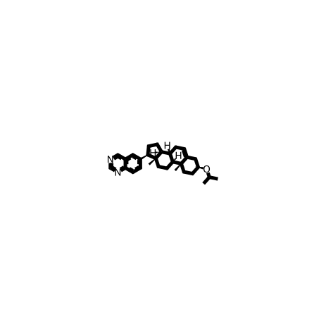 CC(C)O[C@H]1CC[C@@]2(C)C(=CC[C@H]3[C@@H]4CC[C@H](c5ccc6ncncc6c5)[C@@]4(C)CC[C@@H]32)C1